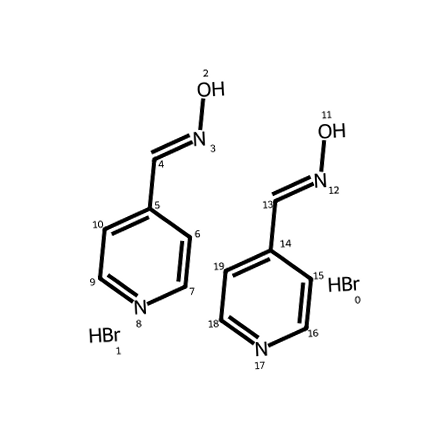 Br.Br.ON=Cc1ccncc1.ON=Cc1ccncc1